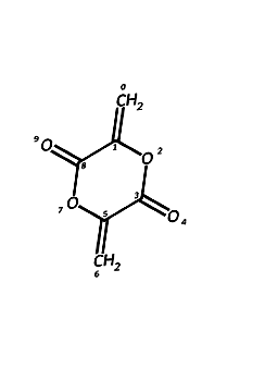 C=c1oc(=O)c(=C)oc1=O